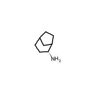 N[C@@H]1CCC2CCC1C2